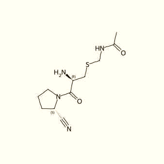 CC(=O)NCSC[C@H](N)C(=O)N1CCC[C@H]1C#N